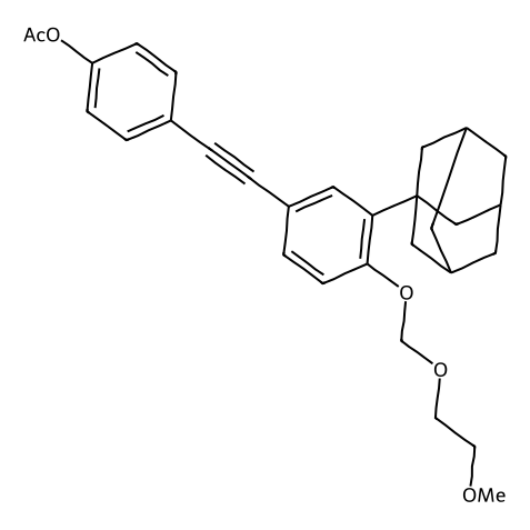 COCCOCOc1ccc(C#Cc2ccc(OC(C)=O)cc2)cc1C12CC3CC(CC(C3)C1)C2